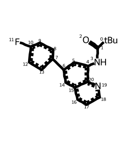 CC(C)(C)C(=O)Nc1cc(-c2ccc(F)cc2)cc2cccnc12